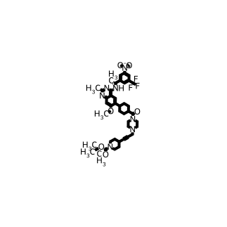 COc1cc2nc(C)nc(N[C@H](C)c3cc([N+](=O)[O-])cc(C(F)(F)F)c3)c2cc1C1CCC(C(=O)N2CCN(CC#CC3CCN(C(=O)OC(C)(C)C)CC3)CC2)CC1